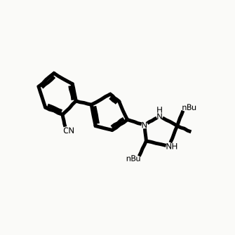 CCCCC1NC(C)(CCCC)NN1c1ccc(-c2ccccc2C#N)cc1